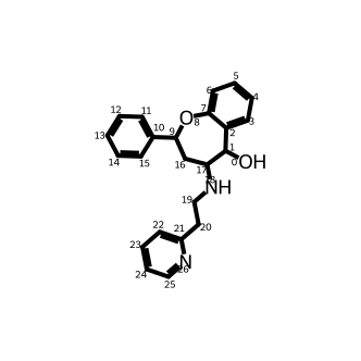 OC1c2ccccc2OC(c2ccccc2)CC1NCCc1ccccn1